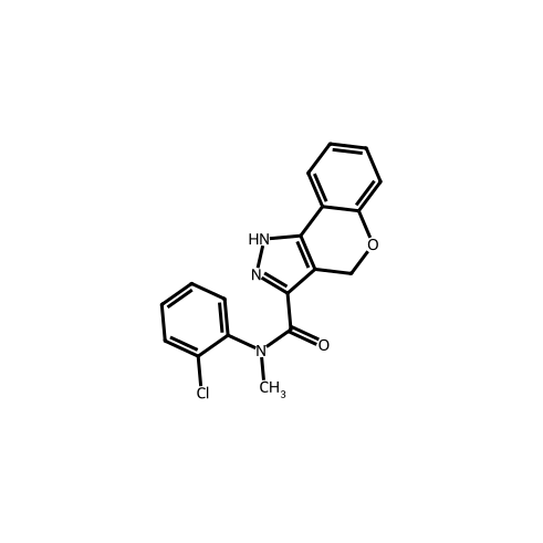 CN(C(=O)c1n[nH]c2c1COc1ccccc1-2)c1ccccc1Cl